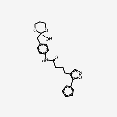 O=C(CCCc1cnoc1-c1ccccc1)Nc1ccc(C[P]2(O)OCCCO2)cc1